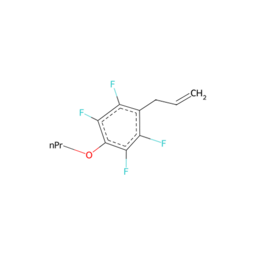 C=CCc1c(F)c(F)c(OCCC)c(F)c1F